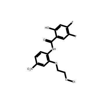 CCOCCOc1cc([N+](=O)[O-])ccc1NC(=O)c1cc(F)c(F)cc1O